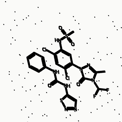 Cc1nn(-c2cc(NS(C)(=O)=O)c(Cl)cc2Cl)c(=O)n1C(F)F.O=C(Nc1ccccc1)Nc1cnns1